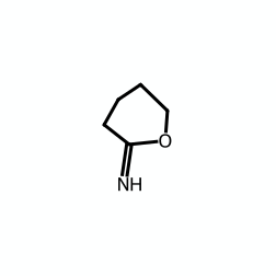 N=C1CCCCO1